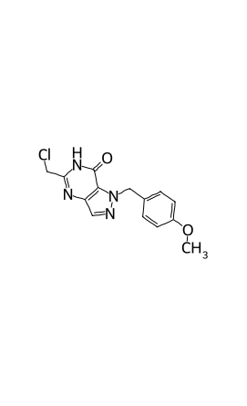 COc1ccc(Cn2ncc3nc(CCl)[nH]c(=O)c32)cc1